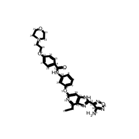 CCc1nc(Oc2cccc(NC(=O)c3ccc(OCCN4CCOCC4)cc3)c2)cc2[nH]c(-c3nonc3N)nc12